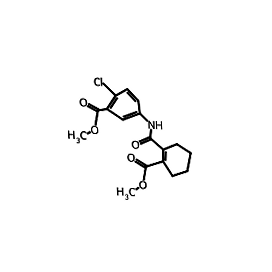 COC(=O)C1=C(C(=O)Nc2ccc(Cl)c(C(=O)OC)c2)CCCC1